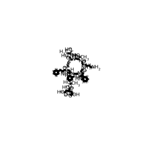 CC(=O)O.CC(O)[C@@H]1NC(=O)[C@H](CCCCN)NC(=O)[C@@H](Cc2c[nH]c3ccccc23)NC(=O)[C@H](Cc2ccccc2)NC(=O)[C@@H](NC(=O)[C@H](N)Cc2ccccc2)CSSC[C@@H](C(=O)N[C@H](CO)[C@@H](C)O)NC1=O.O=C(O)CC(O)(CC(=O)O)C(=O)O